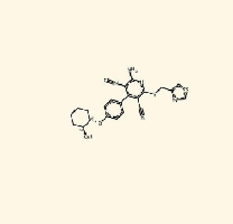 [C-]#[N+]c1c(N)nc(SCc2cscn2)c(C#N)c1-c1ccc(O[C@H]2CCCC[C@@H]2O)cc1